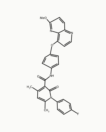 COc1ccc2nccc(Oc3ccc(NC(=O)c4c(C)cc(C)n(-c5ccc(F)cc5)c4=O)cc3)c2n1